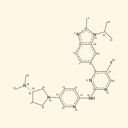 Cc1nc2ccc(-c3nc(Nc4ccc(N5CC[C@H](N(C)C)C5)cn4)ncc3F)cc2n1C(C)C